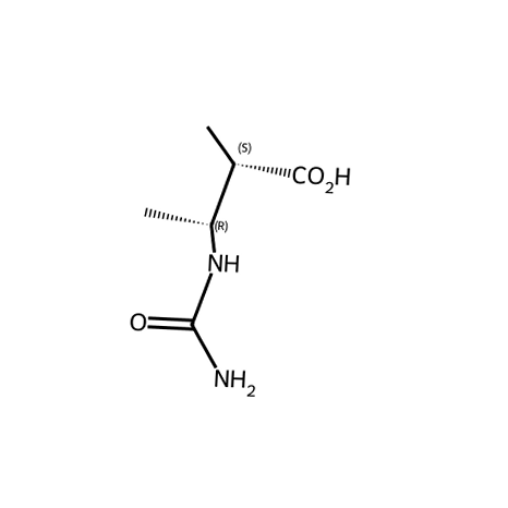 C[C@H](C(=O)O)[C@@H](C)NC(N)=O